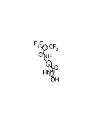 O=C(NCC1CCN(C(=O)[C@H]2C[C@@H](O)CN2)CC1)c1cc(C(F)(F)F)cc(C(F)(F)F)c1